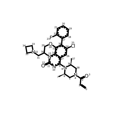 C=CC(=O)N1C[C@@H](C)N(c2nc(=O)n3c4c(c(-c5ccccc5F)c(Cl)cc24)OCC3CN2CCC2)[C@@H](C)C1